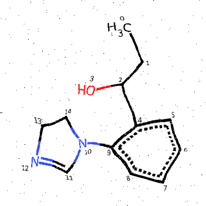 CCC(O)c1ccccc1N1C=NCC1